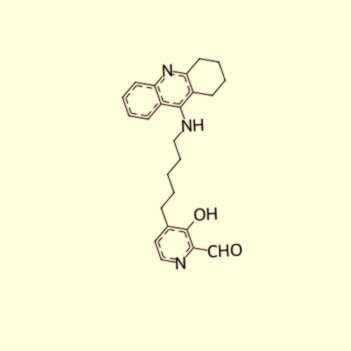 O=Cc1nccc(CCCCCNc2c3c(nc4ccccc24)CCCC3)c1O